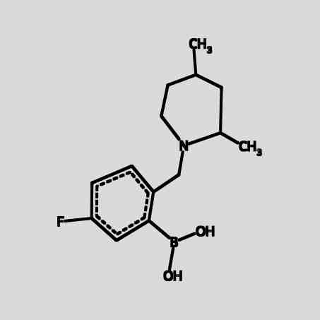 CC1CCN(Cc2ccc(F)cc2B(O)O)C(C)C1